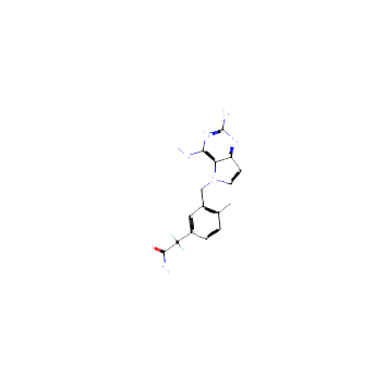 CCCCCNc1nc(N)nc2ccn(Cc3cc(C(F)(F)C(N)=O)ccc3C)c12